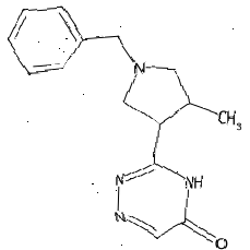 CC1CN(Cc2ccccc2)CC1c1nncc(=O)[nH]1